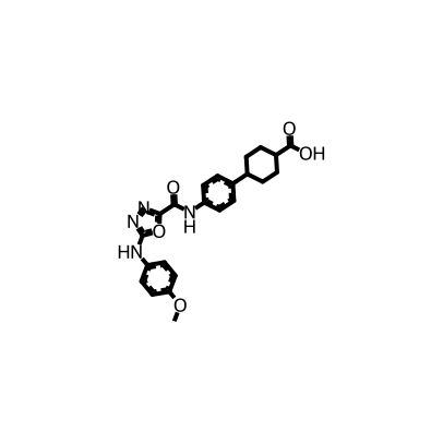 COc1ccc(Nc2nnc(C(=O)Nc3ccc(C4CCC(C(=O)O)CC4)cc3)o2)cc1